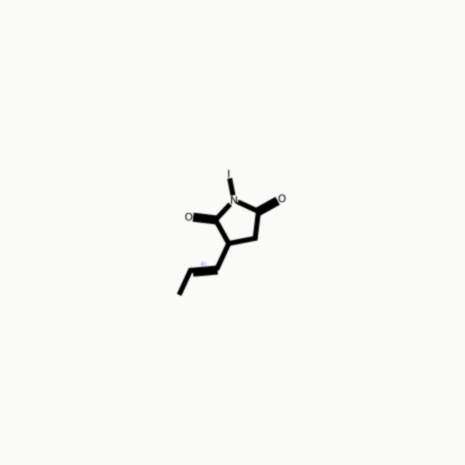 C/C=C/C1CC(=O)N(I)C1=O